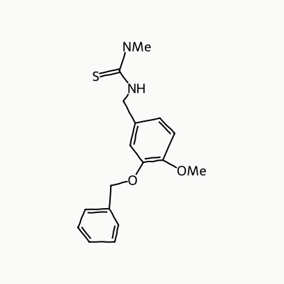 CNC(=S)NCc1ccc(OC)c(OCc2ccccc2)c1